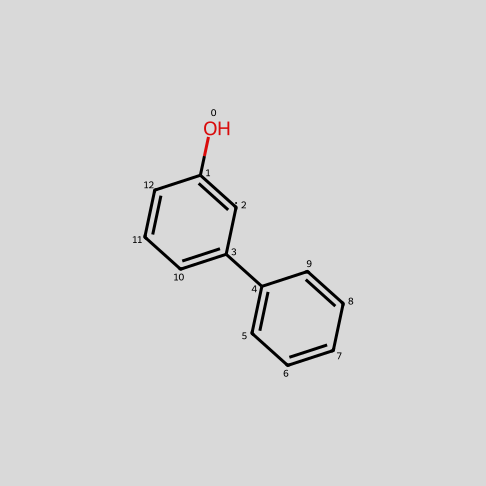 Oc1[c]c(-c2ccccc2)ccc1